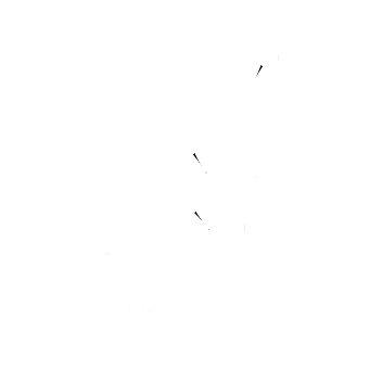 CC(O)[C@H]1CC[C@H]2[C@@H]3CC[C@@H]4C[C@H](O)CC[C@]4(C)[C@H]3CC[C@]12C.O=S(=O)(O)O